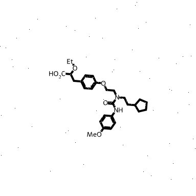 CCOC(Cc1ccc(OCCN(CCC2CCCC2)C(=O)Nc2ccc(OC)cc2)cc1)C(=O)O